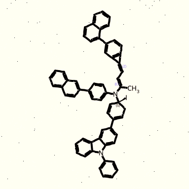 C/C(=C\C=C1\c2ccc(-c3cccc4ccccc34)cc21)N(c1ccc(-c2ccc3ccccc3c2)cc1)[C@@]1(I)C=CC(c2ccc3c(c2)c2ccccc2n3-c2ccccc2)=CC1